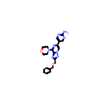 Nc1ncc(-c2cn3nc(COCc4ccccc4)nc3c(N3CCOCC3)n2)cn1